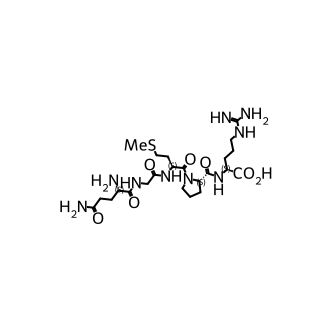 CSCC[C@H](NC(=O)CNC(=O)[C@@H](N)CCC(N)=O)C(=O)N1CCC[C@H]1C(=O)N[C@@H](CCCNC(=N)N)C(=O)O